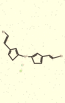 CC/C=C/C1=CC[C]([Ti+2][C]2=CC(/C=C/CC)=CC2)=C1.[Cl-].[Cl-]